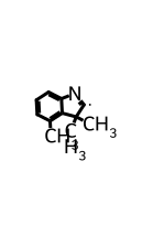 Cc1cccc2c1C(C)(C)[C]=N2